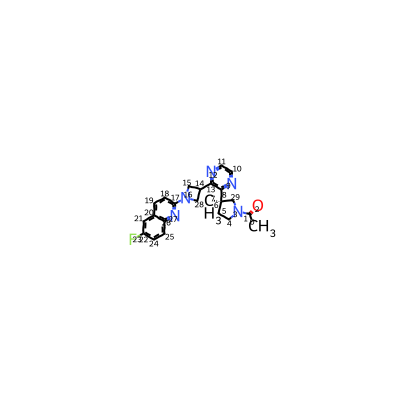 CC(=O)N1CC[C@@](C)(c2nccnc2C2CN(c3ccc4cc(F)ccc4n3)C2)C1